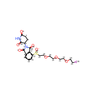 O=C1CCC(N2C(=O)c3cccc([S+]([O-])CCOCCOCCOCCI)c3C2=O)C(=O)N1